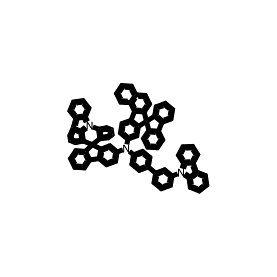 c1cc(-c2ccc(N(c3ccc4c(c3)C3(c5ccccc5-c5ccccc53)c3ccc5ccccc5c3-4)c3ccc4c(c3)C3(c5ccccc5-4)c4ccccc4-n4c5ccccc5c5cccc3c54)cc2)cc(-n2c3ccccc3c3ccccc32)c1